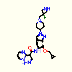 N=C/C(C(=O)Nc1cc2cn(C3CCN(CC4(F)CNC4)CC3)nc2cc1OCC1CC1)=C1/N=CC=CN1